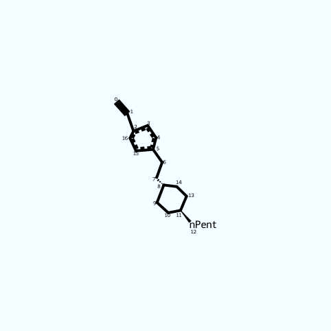 C#Cc1ccc(CC[C@H]2CC[C@H](CCCCC)CC2)cc1